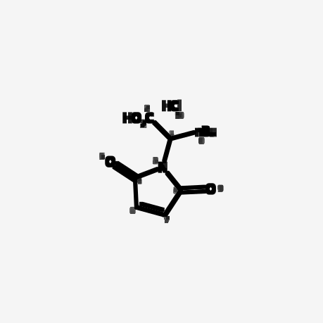 CCCCC(C(=O)O)N1C(=O)C=CC1=O.Cl